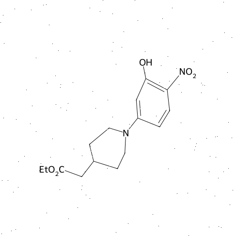 CCOC(=O)CC1CCN(c2ccc([N+](=O)[O-])c(O)c2)CC1